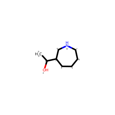 CC(O)C1CCCCNC1